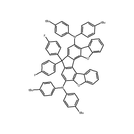 CC(C)(C)c1ccc(N(c2ccc(C(C)(C)C)cc2)c2cc3c(c4c2oc2ccccc24)-c2c(cc(N(c4ccc(C(C)(C)C)cc4)c4ccc(C(C)(C)C)cc4)c4c2oc2ccccc24)C3(c2ccc(F)cc2)c2ccc(F)cc2)cc1